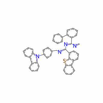 C=N/C(=N\C(=N/Cc1ccc(-n2c3ccccc3c3ccccc32)cc1)c1cccc2c1sc1ccccc12)c1ccccc1-c1ccccc1